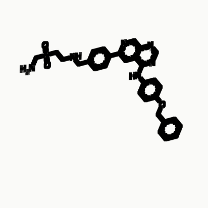 NCS(=O)(=O)CCNCc1ccc(-c2cc3c(Nc4ccc(OCc5ccccc5)cc4)ncnc3cn2)cc1